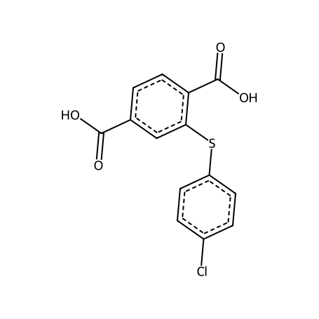 O=C(O)c1ccc(C(=O)O)c(Sc2ccc(Cl)cc2)c1